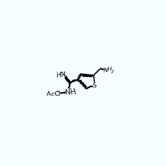 CC(=O)ONC(=N)c1csc(CN)c1